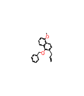 C=CCc1ccc2c(OC)cccc2c1OCc1ccccc1